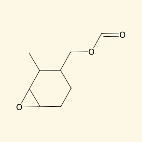 CC1C(COC=O)CCC2OC21